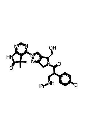 CC(C)NCC(C(=O)N1Cc2nn(-c3ncnc4c3C(C)(C)C(=O)N4)cc2[C@H]1CO)c1ccc(Cl)cc1